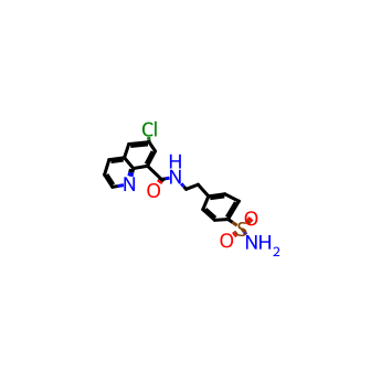 NS(=O)(=O)c1ccc(CCNC(=O)c2cc(Cl)cc3cccnc23)cc1